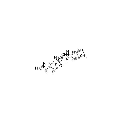 CNC(=O)c1ccc(S(=O)(=O)C[C@](C)(O)C(=O)Nc2cnc(C)c(C)n2)cc1F